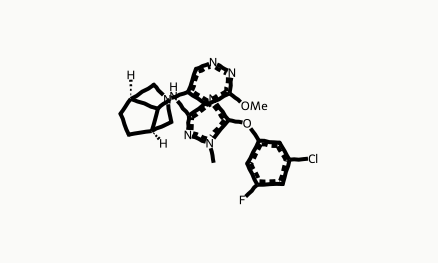 COc1cc(N2C[C@H]3CC[C@@H](C2)C3Nc2nc(Oc3cc(F)cc(Cl)c3)n(C)n2)cnn1